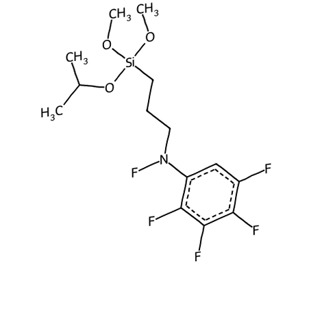 CO[Si](CCCN(F)c1cc(F)c(F)c(F)c1F)(OC)OC(C)C